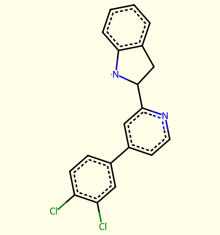 Clc1ccc(-c2ccnc(C3Cc4ccccc4[N]3)c2)cc1Cl